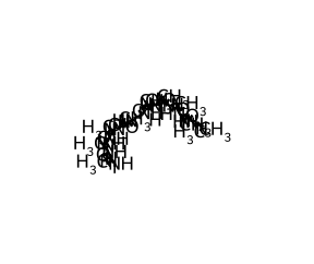 CN(C)CCCNC(=O)c1cc(NC(=O)c2cc(NC(=O)c3cc(NC(=O)c4cc(NC(=O)CCCNC(=O)c5cc(NC(=O)c6cc(NC(=O)c7nc(NC(=O)c8nc(NI)cn8C)cn7C)cn6C)cn5C)cn4C)cn3C)cn2C)cn1C